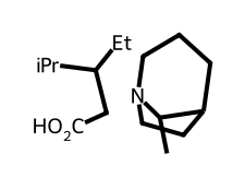 CC1C2CCCN1CC2.CCC(CC(=O)O)C(C)C